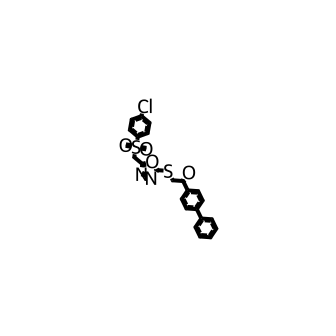 O=C(CSc1nnc(CS(=O)(=O)c2ccc(Cl)cc2)o1)c1ccc(-c2ccccc2)cc1